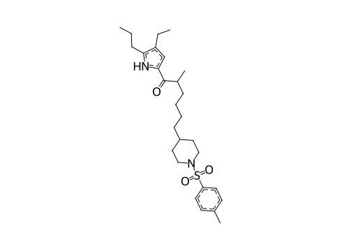 CCCc1[nH]c(C(=O)C(C)CCCCC2CCN(S(=O)(=O)c3ccc(C)cc3)CC2)cc1CC